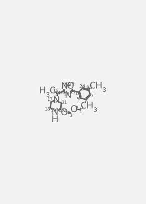 CCOC=O.Cc1cccc(-c2nc(C(C)N3CCNCC3)no2)c1